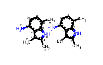 CCc1c(C)[nH]c2c(C)ccc(N)c12.Cc1[nH]c2c(C)ccc(N)c2c1C